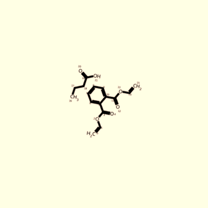 C=COC(=O)c1ccccc1C(=O)OC=C.CCCC(=O)O